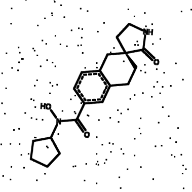 O=C(c1ccc2c(c1)CC[C@]1(CCNC1=O)C2)N(O)C1CCCC1